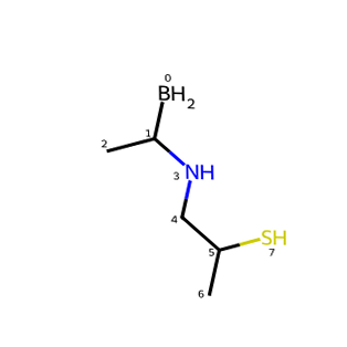 BC(C)NCC(C)S